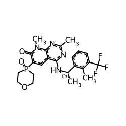 Cc1nc(N[C@H](C)c2cccc(C(F)(F)F)c2C)c2cc(P3(=O)CCOCC3)c(=O)n(C)c2n1